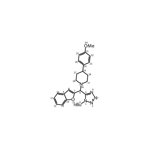 CCCCn1nnnc1C(c1cc2ccccc2o1)N1CCC(c2ccc(OC)cc2)CC1